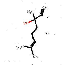 C=CC(C)(O)CCC=C(C)C.[Sn]